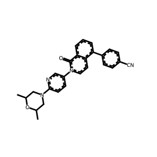 CC1CN(c2ccc(-n3ccc4c(-c5ccc(C#N)cc5)cccc4c3=O)cn2)CC(C)O1